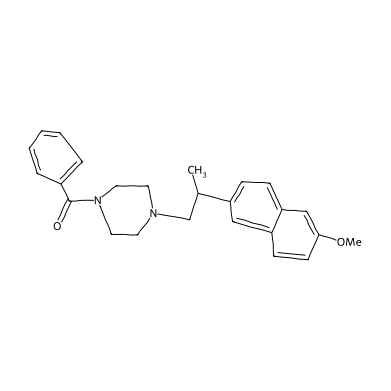 COc1ccc2cc(C(C)CN3CCN(C(=O)c4ccccc4)CC3)ccc2c1